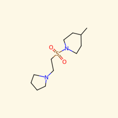 CC1CCN(S(=O)(=O)CCN2CCCC2)CC1